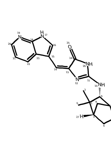 CC1(C)[C@H]2CC[C@@](C)(C2)[C@H]1NC1=NC(=Cc2c[nH]c3ncccc23)C(=O)N1